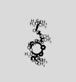 CCn1c(-c2cccnc2[C@H](C)OC)c2c3cc(ccc31)-c1cccc(c1)C[C@H](NC(=O)C(COC1CN(C(=O)C#CC(C)(C)N(C)C)C1)C(C)C)C(=O)N1CCC[C@H](N1)C(=O)OCC(C)(C)C2